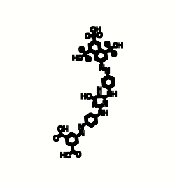 O=C(O)c1cc(/N=N/c2ccc(NC3=NC(Nc4ccc(/N=N/c5cc(S(=O)(=O)O)c6cc(S(=O)(=O)O)cc(S(=O)(=O)O)c6c5)cc4)NC(O)=N3)cc2)cc(C(=O)O)c1